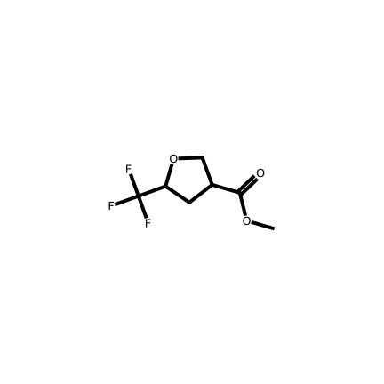 COC(=O)C1COC(C(F)(F)F)C1